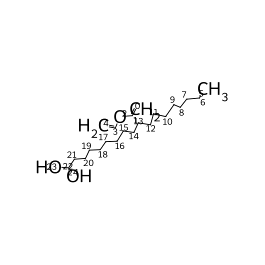 C=COC=C.CCCCCCCCCCCCCCCCCC(O)O